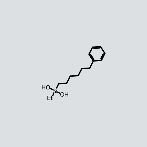 CC[Si](O)(O)CCCCCCc1ccccc1